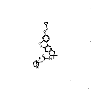 CC1(C)Cc2cc(-c3ccc(OCC4CC4)cc3Cl)c(F)cc2[C@@H]1NC(=O)O[C@H]1CN2CCC1CC2